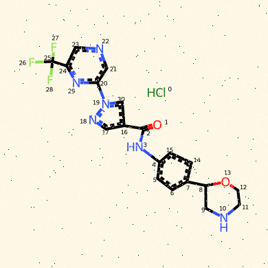 Cl.O=C(Nc1ccc(C2CNCCO2)cc1)c1cnn(-c2cncc(C(F)(F)F)n2)c1